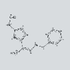 O=CNc1nc(C(=NOCc2ccccc2)C(=O)O)cs1